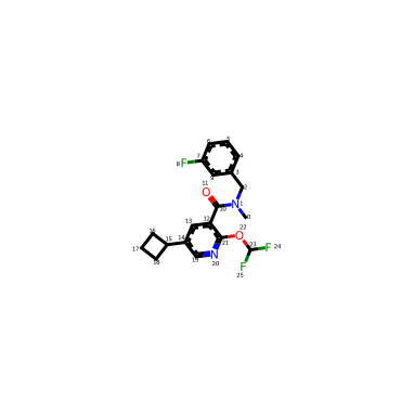 CN(Cc1cccc(F)c1)C(=O)c1cc(C2CCC2)cnc1OC(F)F